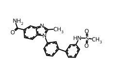 Cc1nc2cc(C(N)=O)ccc2n1-c1cccc(-c2cccc(NS(C)(=O)=O)c2)c1